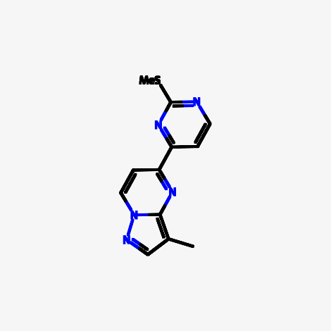 CSc1nccc(-c2ccn3ncc(C)c3n2)n1